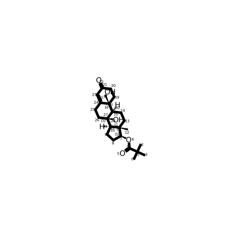 CC(C)(C)C(=O)O[C@H]1CC[C@@H]2[C@]1(C)CC[C@@H]1[C@@]3(CO)CCC(=O)C=C3CC[C@]12O